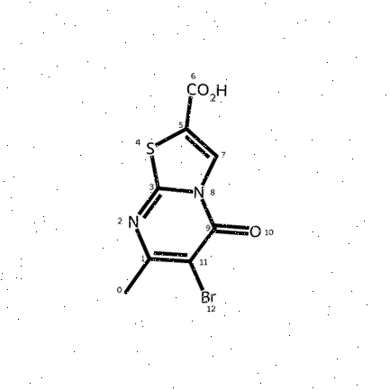 Cc1nc2sc(C(=O)O)cn2c(=O)c1Br